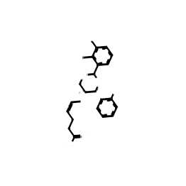 O=C(O)CC/C=C\C[C@@H]1COC(c2cccc(Cl)c2Cl)O[C@@H]1c1ccccc1O